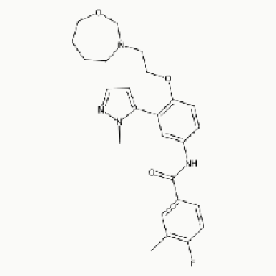 Cc1cc(C(=O)Nc2ccc(OCCN3CCCCOC3)c(-c3ccnn3C)c2)ccc1F